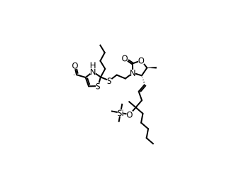 CCCCCC(C)(C/C=C/[C@H]1[C@H](C)OC(=O)N1CCSC1(CCCC)NC([C]=O)=CS1)O[Si](C)(C)C